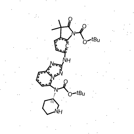 CC(C)(C)OC(=O)N1C(=O)C(C)(C)c2ccc(Nc3nc4cccc(N(C(=O)OC(C)(C)C)[C@H]5CCCNC5)n4n3)cc21